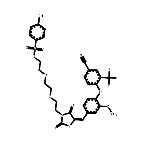 COc1cc(C=C2SC(=O)N(CCOCCOCCOS(=O)(=O)c3ccc(C)cc3)C2=O)ccc1Oc1ccc(C#N)cc1C(F)(F)F